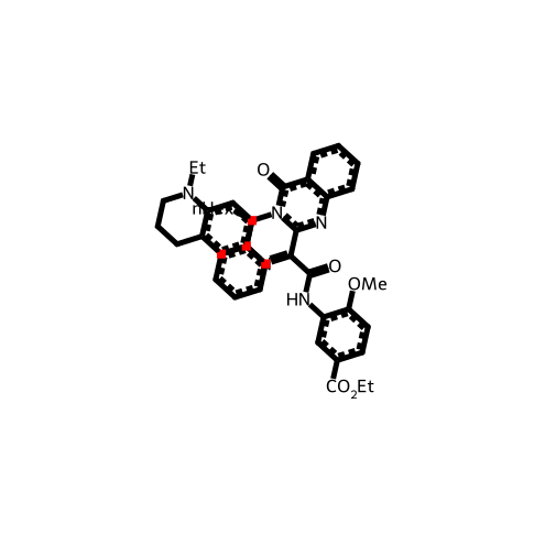 CCCCCCC(c1ccccc1)n1c(/C(=N\c2ccc3c(c2)CCCN3CC)C(=O)Nc2cc(C(=O)OCC)ccc2OC)nc2ccccc2c1=O